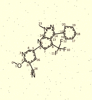 COc1ncc(-c2cc(C(F)(F)F)c3c(-c4ccccc4)nn(C)c3n2)cc1C#N